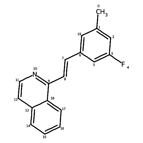 Cc1cc(F)cc(C=Cc2nccc3ccccc23)c1